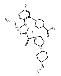 COC[C@H]1CN(C(=O)[C@@]2(F)CCN([C@H]3CC[C@H](OC)CC3)C2)C[C@@H]1c1ccc(Cl)cc1N1CCC(C(N)=O)CC1